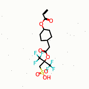 C=CC(=O)OC1CCC(CC(=O)OC(CS(=O)(=O)O)(C(F)(F)F)C(F)(F)F)CC1